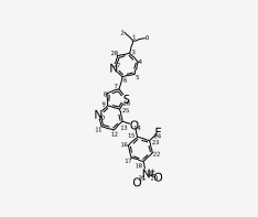 CC(C)c1ccc(-c2cc3nccc(Oc4ccc([N+](=O)[O-])cc4F)c3s2)nc1